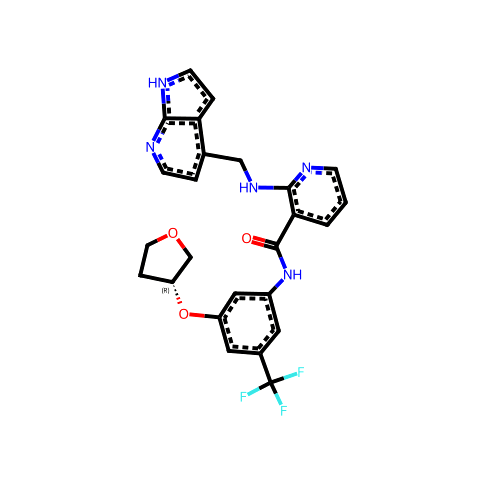 O=C(Nc1cc(O[C@@H]2CCOC2)cc(C(F)(F)F)c1)c1cccnc1NCc1ccnc2[nH]ccc12